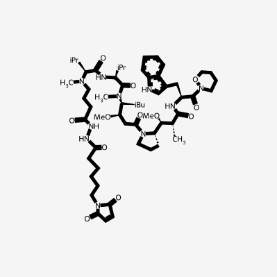 CC[C@H](C)[C@@H]([C@@H](CC(=O)N1CCC[C@H]1[C@H](OC)[C@@H](C)C(=O)N[C@@H](Cc1c[nH]c2ccccc12)C(=O)N1CCCCO1)OC)N(C)C(=O)[C@@H](NC(=O)[C@H](C(C)C)N(C)CCCC(=O)NNC(=O)CCCCCN1C(=O)C=CC1=O)C(C)C